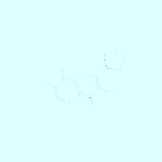 Cc1c([C@@H]2CCCN2)oc2c(C)c(O)ccc2c1=O